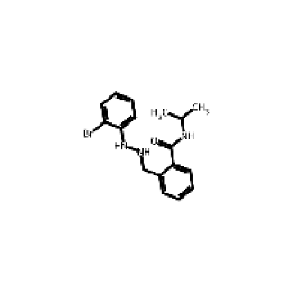 CC(C)NC(=O)c1ccccc1CNNc1ccccc1Br